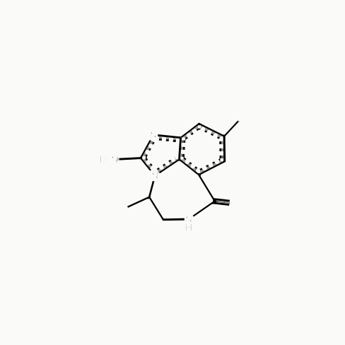 CCC1CNC(=O)c2cc(F)cc3nc(N)n1c23